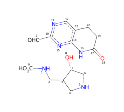 O=C(O)NC[C@H]1CNC[C@H]1O.O=Cc1ncc2c(n1)NC(=O)CC2